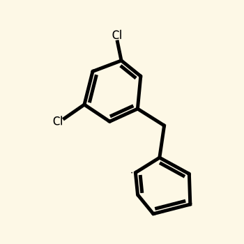 Clc1cc(Cl)cc(Cc2[c]cccc2)c1